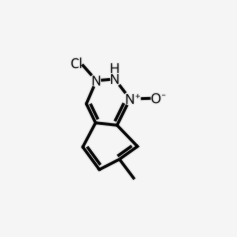 Cc1ccc2c(c1)=[N+]([O-])NN(Cl)C=2